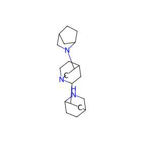 C1CC2NCC1CC2C1CC2CCN1CC2N1CC2CCC1C2